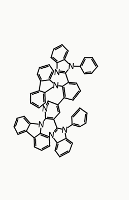 c1ccc(-n2c(-c3cc(-c4cccc(-c5nc6ccccc6n5-c5ccccc5)c4-n4c5ccccc5c5ccccc54)cnc3-n3c4ccccc4c4ccccc43)nc3ccccc32)cc1